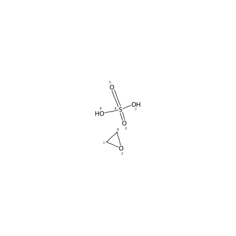 C1CO1.O=S(=O)(O)O